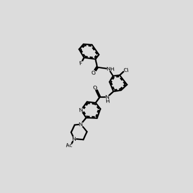 CC(=O)N1CCN(c2ccc(C(=O)Nc3ccc(Cl)c(NC(=O)c4ccccc4F)c3)cn2)CC1